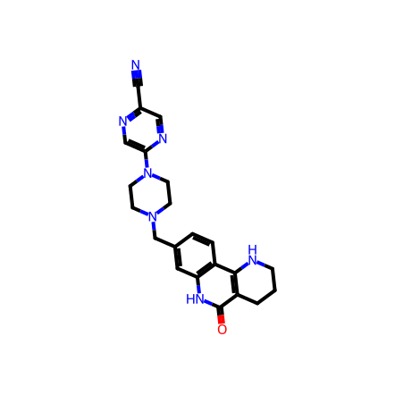 N#Cc1cnc(N2CCN(Cc3ccc4c5c(c(=O)[nH]c4c3)CCCN5)CC2)cn1